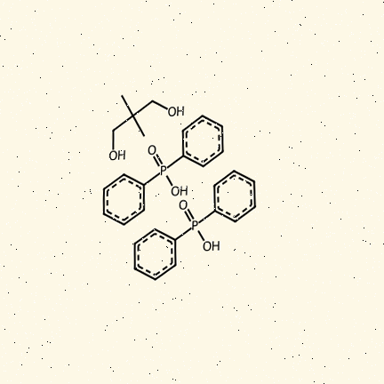 CC(C)(CO)CO.O=P(O)(c1ccccc1)c1ccccc1.O=P(O)(c1ccccc1)c1ccccc1